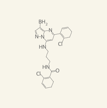 Bc1cnn2c(NCCCNC(=O)C3=C(Cl)C=CCC3)cc(C3=C(Cl)CCC=C3)nc12